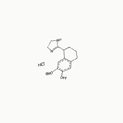 COc1cc2c(cc1O)CCCC2C1=NCCN1.Cl